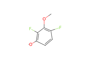 COc1c(F)ccc([O])c1F